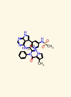 Cc1ccn2nc([C@H](C)Nc3ncnc4[nH]cc(-c5cncc(NS(C)(=O)=O)c5)c34)n(-c3ccccc3)c(=O)c12